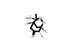 C[C@@H]1C(=O)C[C@H]2C[C@@H]1OO[C@]2(C)C=O